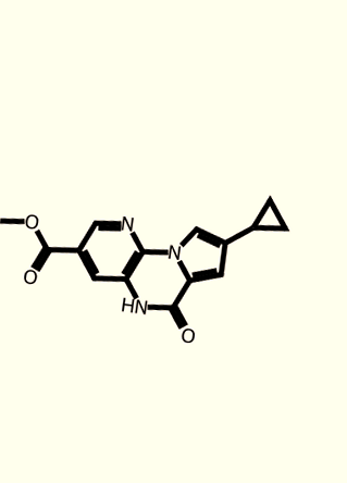 COC(=O)c1cnc2c(c1)[nH]c(=O)c1cc(C3CC3)cn12